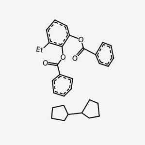 C1CCC(C2CCCC2)C1.CCc1cccc(OC(=O)c2ccccc2)c1OC(=O)c1ccccc1